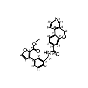 COC(=O)c1occc1-c1cccc(CNC(=O)c2ccc3c(c2)OCc2cnccc2-3)c1